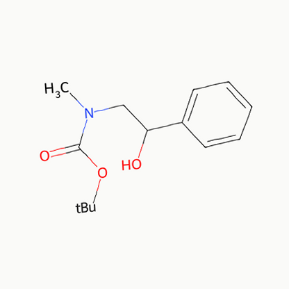 CN(CC(O)c1ccccc1)C(=O)OC(C)(C)C